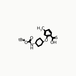 Cc1ccc(C(O)=S)c(O[C@H]2CC[C@@H](NC(=O)OC(C)(C)C)CC2)c1